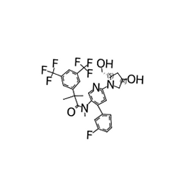 CN(C(=O)C(C)(C)c1cc(C(F)(F)F)cc(C(F)(F)F)c1)c1cnc(N2C[C@H](O)C[C@H]2CO)cc1-c1cccc(F)c1